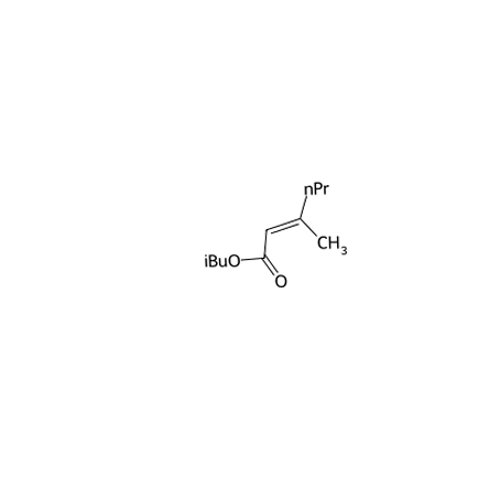 CCC/C(C)=C/C(=O)OCC(C)C